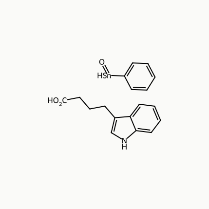 O=C(O)CCCc1c[nH]c2ccccc12.[O]=[SnH][c]1ccccc1